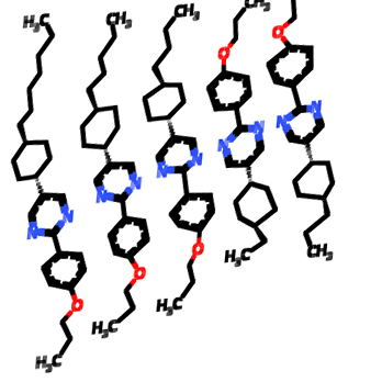 CCCCCCC[C@H]1CC[C@H](c2cnc(-c3ccc(OCCC)cc3)nc2)CC1.CCCCC[C@H]1CC[C@H](c2cnc(-c3ccc(OCCC)cc3)nc2)CC1.CCCC[C@H]1CC[C@H](c2cnc(-c3ccc(OCCC)cc3)nc2)CC1.CCCOc1ccc(-c2ncc([C@H]3CC[C@H](CC)CC3)cn2)cc1.CCCOc1ccc(-c2ncc([C@H]3CC[C@H](CCC)CC3)cn2)cc1